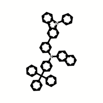 c1ccc(-n2c3ccccc3c3cc(-c4cccc(N(c5ccc(C(c6ccccc6)(c6ccccc6)c6ccccc6)cc5)c5ccc6ccccc6c5)c4)ccc32)cc1